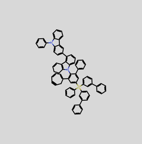 C1#CCC(c2cc(S(c3ccccc3)(c3cccc(-c4ccccc4)c3)c3cccc(-c4ccccc4)c3)cc(-c3ccccc3)c2-n2c3c(c4c(-c5ccc6c(c5)c5ccccc5n6-c5ccccc5)cccc42)C=CCC3)=CC=C1